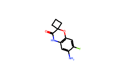 Nc1cc2c(cc1F)OC1(CCC1)C(=O)N2